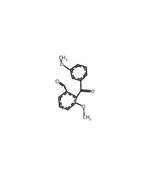 COc1cccc(C(=O)c2c([C]=O)cccc2OC)c1